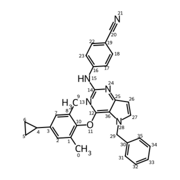 Cc1cc(C2CC2)cc(C)c1Oc1nc(Nc2ccc(C#N)cc2)nc2ccn(Cc3ccccc3)c12